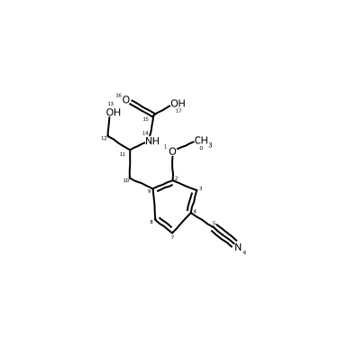 COc1cc(C#N)ccc1CC(CO)NC(=O)O